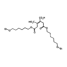 CCOCCCCCCOC(=O)CC(C(=O)O)=C(CC(=O)OCCCCCCOCC)C(=O)O